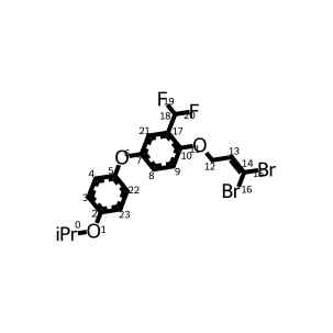 CC(C)Oc1ccc(Oc2ccc(OCC=C(Br)Br)c(C(F)F)c2)cc1